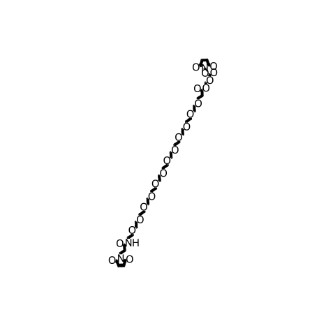 O=C(CCN1C(=O)C=CC1=O)NCCOCCOCCOCCOCCOCCOCCOCCOCCOCCOCCOCCOCCC(=O)OCOC(=O)ON1C(=O)CCC1=O